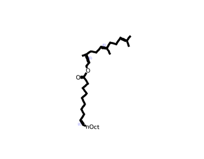 CCCCCCCC/C=C\CCCCCCCC(=O)OC/C=C(\C)CC/C=C(\C)CCC=C(C)C